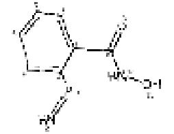 N=Pc1ccccc1C(=O)NO